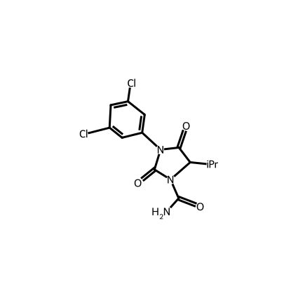 CC(C)C1C(=O)N(c2cc(Cl)cc(Cl)c2)C(=O)N1C(N)=O